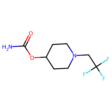 NC(=O)OC1CCN(CC(F)(F)F)CC1